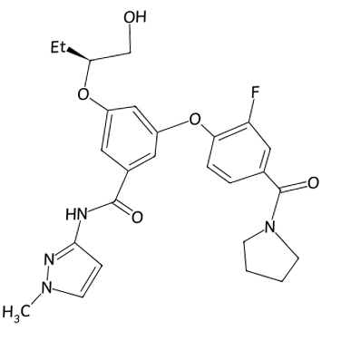 CC[C@@H](CO)Oc1cc(Oc2ccc(C(=O)N3CCCC3)cc2F)cc(C(=O)Nc2ccn(C)n2)c1